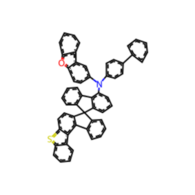 c1ccc(-c2ccc(N(c3ccc4oc5ccccc5c4c3)c3cccc4c3-c3ccccc3C43c4ccccc4-c4c3ccc3sc5ccccc5c43)cc2)cc1